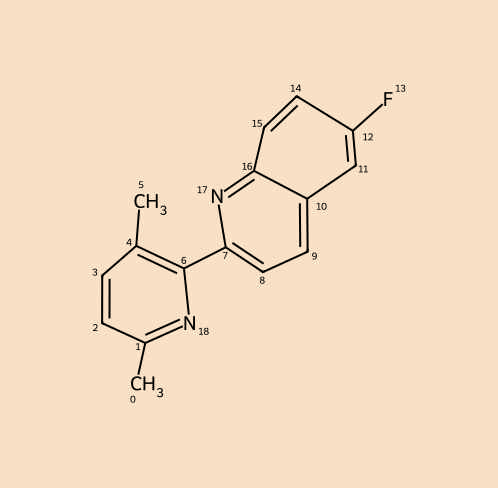 Cc1ccc(C)c(-c2ccc3cc(F)ccc3n2)n1